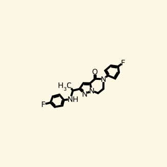 CC(Nc1ccc(F)cc1)c1cc2n(n1)CCN(c1ccc(F)cc1)C2=O